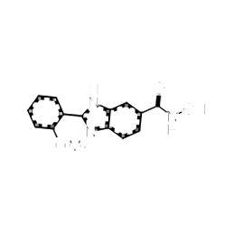 COc1ccccc1-c1nc2ccc(C(=O)NO)cc2[nH]1